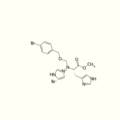 COC(=O)[C@H](Cc1c[nH]cn1)N(COCc1ccc(Br)cc1)[n+]1cc[nH]c1.[Br-]